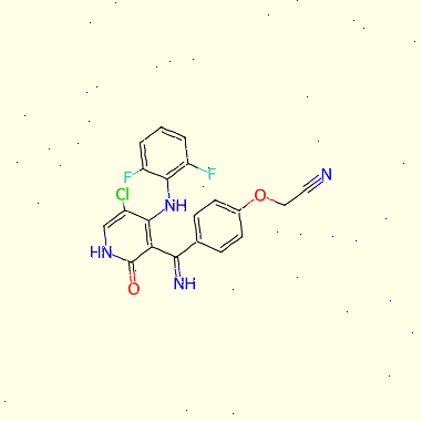 N#CCOc1ccc(C(=N)c2c(Nc3c(F)cccc3F)c(Cl)c[nH]c2=O)cc1